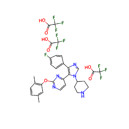 Cc1ccc(C)c(Oc2nccc(-c3c(-c4ccc(F)cc4)ncn3C3CCNCC3)n2)c1.O=C(O)C(F)(F)F.O=C(O)C(F)(F)F.O=C(O)C(F)(F)F